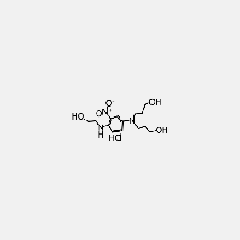 Cl.O=[N+]([O-])c1cc(N(CCCO)CCCO)ccc1NCCO